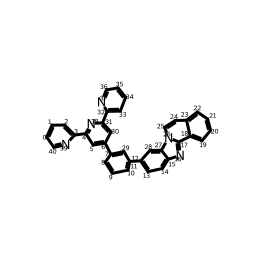 c1ccc(-c2cc(-c3cccc(-c4ccc5nc6c7ccccc7ccn6c5c4)c3)cc(-c3ccccn3)n2)nc1